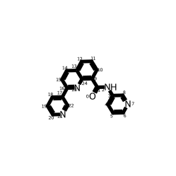 O=C(Nc1cccnc1)c1cccc2ccc(-c3cccnc3)nc12